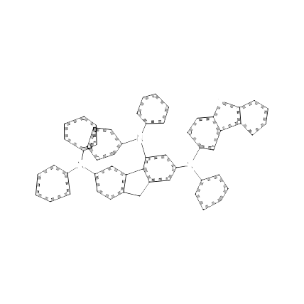 c1ccc(N(c2ccccc2)c2ccc3c(c2)-c2c(cc(N(c4ccccc4)c4ccc5sc6ccccc6c5c4)cc2N(c2ccccc2)c2ccccc2)C3)cc1